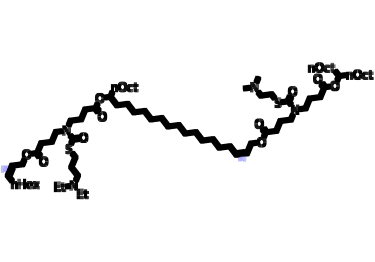 CCCCCC/C=C\COC(=O)CCCN(CCCC(=O)OC(CCCCCCCC)CCCCCCCCCCCCCC/C=C\COC(=O)CCCN(CCCC(=O)OC(CCCCCCCC)CCCCCCCC)C(=O)SCCN(C)C)C(=O)SCCCN(CC)CC